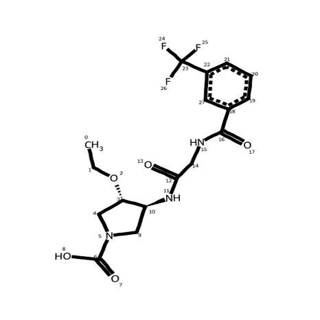 CCO[C@H]1CN(C(=O)O)C[C@@H]1NC(=O)CNC(=O)c1cccc(C(F)(F)F)c1